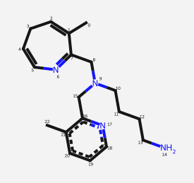 CC1=CCC=CN=C1CN(CCCCN)Cc1ncccc1C